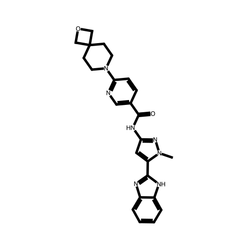 Cn1nc(NC(=O)c2ccc(N3CCC4(CC3)COC4)nc2)cc1-c1nc2ccccc2[nH]1